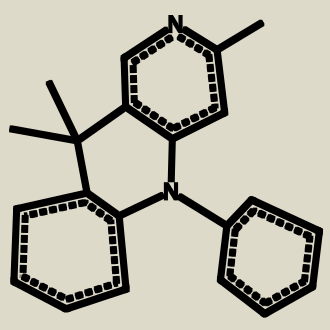 Cc1cc2c(cn1)C(C)(C)c1ccccc1N2c1ccccc1